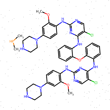 COc1cc(N2CCNCC2)ccc1Nc1ncc(Cl)c(Nc2ccccc2Oc2ccccc2Nc2nc(Nc3ccc(N4CCNCC4)cc3OC)ncc2Cl)n1.CPC